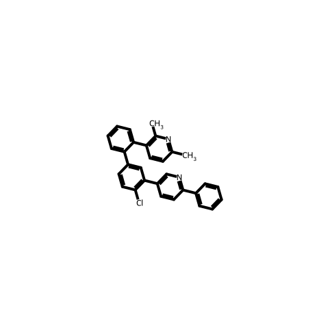 Cc1ccc(-c2ccccc2-c2ccc(Cl)c(-c3ccc(-c4ccccc4)nc3)c2)c(C)n1